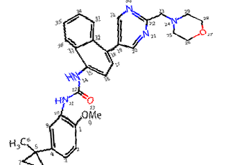 COc1ccc(C2(C)CC2)cc1NC(=O)Nc1ccc(-c2cnc(CN3CCOCC3)nc2)c2ccccc12